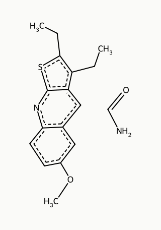 CCc1sc2nc3ccc(OC)cc3cc2c1CC.NC=O